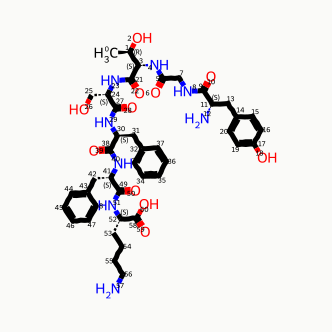 C[C@@H](O)[C@H](NC(=O)CNC(=O)[C@@H](N)Cc1ccc(O)cc1)C(=O)N[C@@H](CO)C(=O)N[C@@H](Cc1ccccc1)C(=O)N[C@@H](Cc1ccccc1)C(=O)N[C@@H](CCCCN)C(=O)O